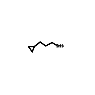 [SnH][CH2]CCC1CC1